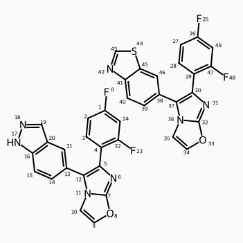 Fc1ccc(-c2nc3occn3c2-c2ccc3[nH]ncc3c2)c(F)c1.Fc1ccc(-c2nc3occn3c2-c2ccc3ncsc3c2)c(F)c1